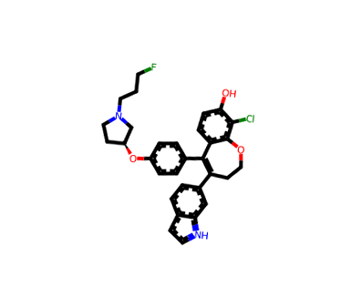 Oc1ccc2c(c1Cl)OCCC(c1ccc3cc[nH]c3c1)=C2c1ccc(O[C@H]2CCN(CCCF)C2)cc1